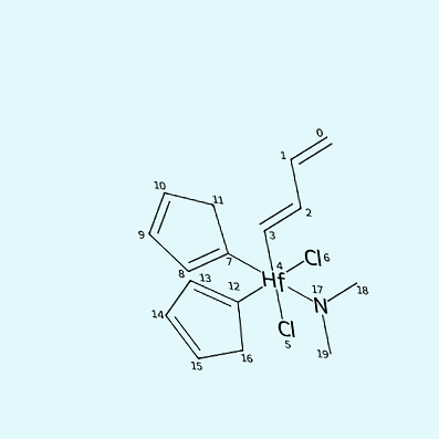 C=CC=[CH][Hf]([Cl])([Cl])([C]1=CC=CC1)([C]1=CC=CC1)[N](C)C